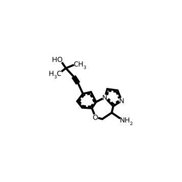 CC(C)(O)C#Cc1ccc2c(c1)-n1ccnc1C(N)CO2